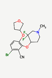 CN1CCC(Oc2c(OC3CCOC3)ccc(Br)c2C#N)C(F)(F)C1